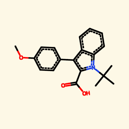 COc1ccc(-c2c(C(=O)O)n(C(C)(C)C)c3ccccc23)cc1